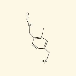 NCc1ccc(CNC=O)c(F)c1